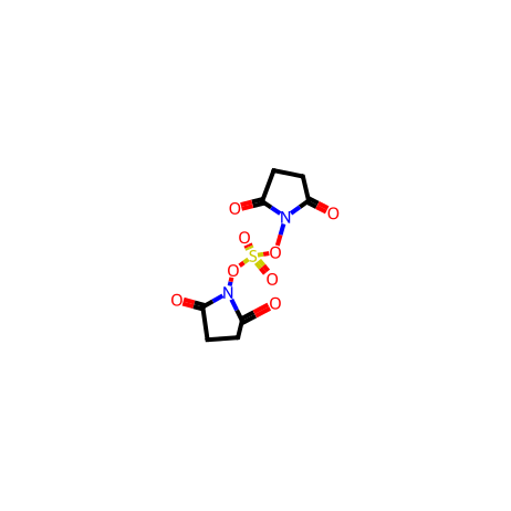 O=C1CCC(=O)N1OS(=O)(=O)ON1C(=O)CCC1=O